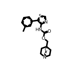 Cc1cccc(-c2scnc2NC(=O)OCC23CCN(CC2)CC3)c1